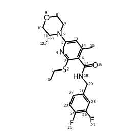 CCSc1nc(N2CCOC[C@H]2C)cc(C)c1C(=O)NCc1ccc(F)c(F)c1